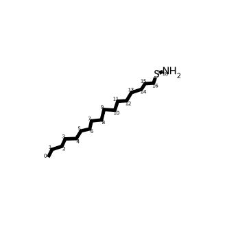 CCCCCCCCCCCCCCCCCSN